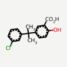 CC(C)(c1cccc(Cl)c1)c1ccc(O)c(C(=O)O)c1